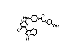 O=C(CN1CCC(O)C1)N1CCC(Nc2ncc(Cl)c(-c3c[nH]c4ccccc34)n2)CC1